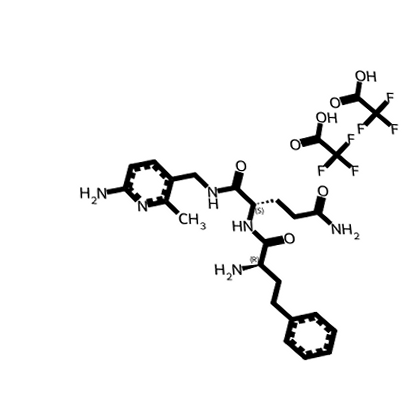 Cc1nc(N)ccc1CNC(=O)[C@H](CCC(N)=O)NC(=O)[C@H](N)CCc1ccccc1.O=C(O)C(F)(F)F.O=C(O)C(F)(F)F